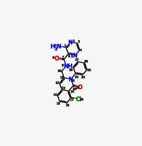 Nc1nccnc1C(=O)NCc1cc2cccc(Cl)c2c(=O)n1-c1ccccc1